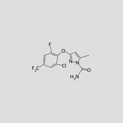 Cc1cc(Oc2c(F)cc(C(F)(F)F)cc2Cl)nn1C(N)=O